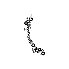 Nc1ncnc2c1c(-c1ccc(Oc3ccccc3)cc1)cn2[C@H]1CC[C@H](N2CCN(CCOCCOCCNC(=O)CNc3cccc4c3C(=O)N(C3CCCNC3=O)C4=O)CC2)CC1